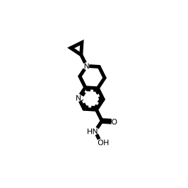 O=C(NO)c1cnc2c(c1)CCN(C1CC1)C2